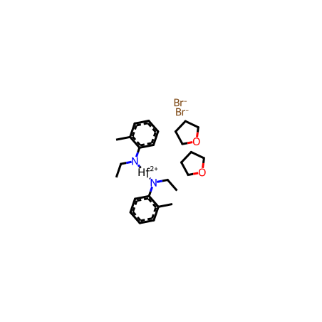 C1CCOC1.C1CCOC1.CC[N]([Hf+2][N](CC)c1ccccc1C)c1ccccc1C.[Br-].[Br-]